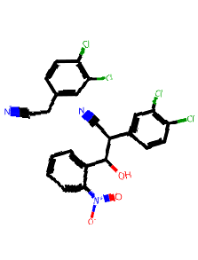 N#CC(c1ccc(Cl)c(Cl)c1)C(O)c1ccccc1[N+](=O)[O-].N#CCc1ccc(Cl)c(Cl)c1